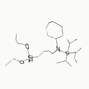 CCO[SiH](CCCN(C1CCCCC1)[Si](C(C)C)(C(C)C)C(C)C)OCC